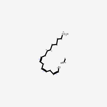 CC/C=C\C/C=C\C/C=C\CCCCCCCC(=O)O.CCCC